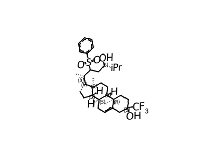 CC(C)[C@@H](O)CC([C@@H](C)[C@H]1CC[C@H]2[C@@H]3CC=C4C[C@](O)(C(F)(F)F)CC[C@]4(C)[C@H]3CC[C@]12C)S(=O)(=O)c1ccccc1